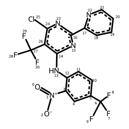 O=[N+]([O-])c1cc(C(F)(F)F)ccc1Nc1nc(-c2ccccn2)nc(Cl)c1C(F)(F)F